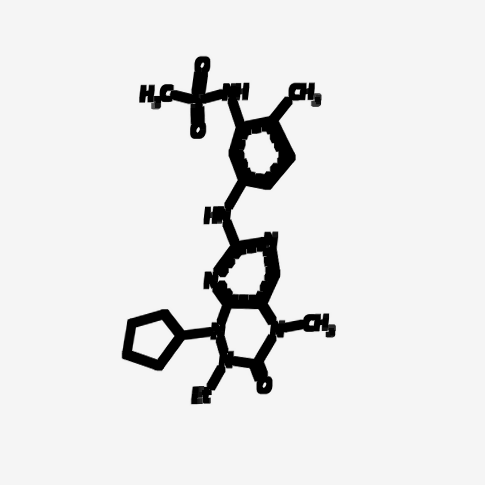 CCN1C(=O)N(C)c2cnc(Nc3ccc(C)c(NS(C)(=O)=O)c3)nc2N1C1CCCC1